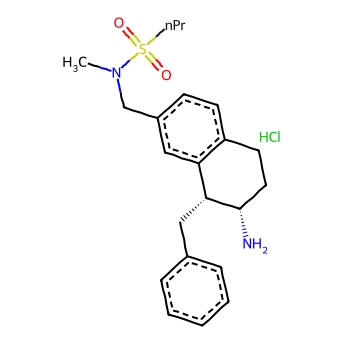 CCCS(=O)(=O)N(C)Cc1ccc2c(c1)[C@@H](Cc1ccccc1)[C@@H](N)CC2.Cl